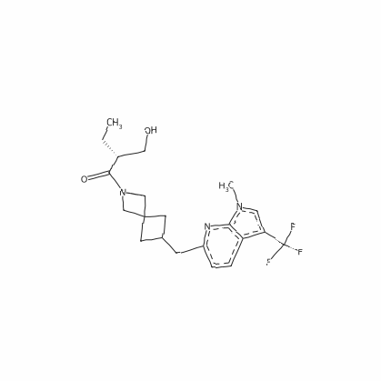 CC[C@H](CO)C(=O)N1CC2(CC(Cc3ccc4c(C(F)(F)F)cn(C)c4n3)C2)C1